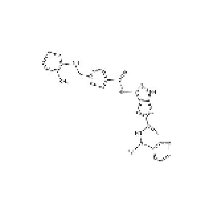 Cc1ccccc1NCc1ccc(C(=O)Nc2n[nH]c3sc(C(=O)NN(C)c4ccccc4)cc23)cc1